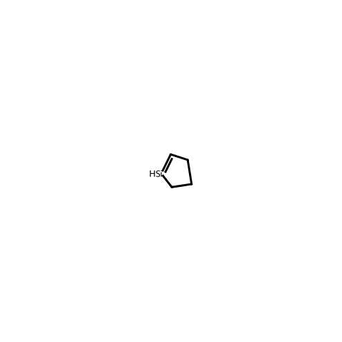 C1=[SiH]CCC1